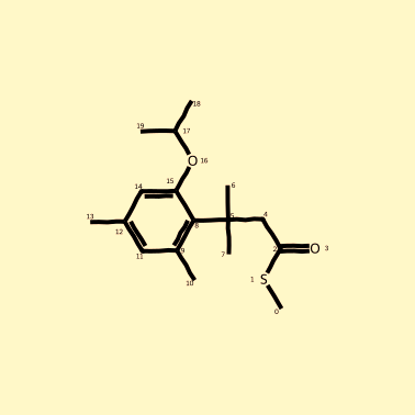 CSC(=O)CC(C)(C)c1c(C)cc(C)cc1OC(C)C